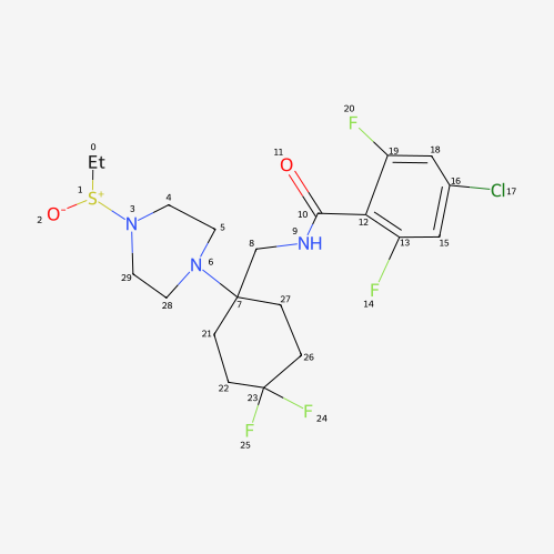 CC[S+]([O-])N1CCN(C2(CNC(=O)c3c(F)cc(Cl)cc3F)CCC(F)(F)CC2)CC1